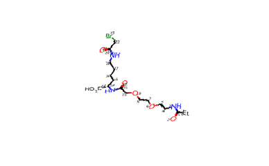 CCC(=O)NCCOCCOCC(=O)N[C@H](CCCCNC(=O)CBr)C(=O)O